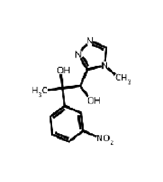 Cn1cnnc1C(O)C(C)(O)c1cccc([N+](=O)[O-])c1